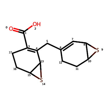 O=C(O)C1=C(CC2=CC3SC3CC2)C2SC2CC1